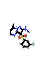 CNc1nn2c(C)ccnc2c1S(=O)(=O)c1cccc(Cl)c1